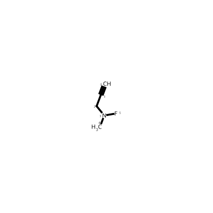 C#CCN(C)F